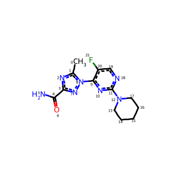 Cc1nc(C(N)=O)nn1-c1nc(N2CCCCC2)ncc1F